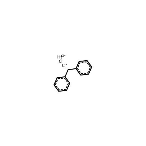 [Cl-].[Cl-].[Hf+2].c1ccc(Cc2ccccc2)cc1